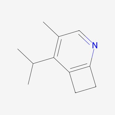 Cc1cnc2c(c1C(C)C)CC2